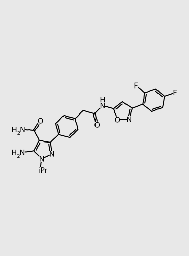 CC(C)n1nc(-c2ccc(CC(=O)Nc3cc(-c4ccc(F)cc4F)no3)cc2)c(C(N)=O)c1N